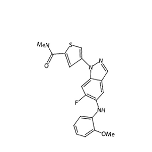 CNC(=O)c1cc(-n2ncc3cc(Nc4ccccc4OC)c(F)cc32)cs1